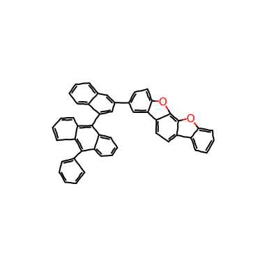 c1ccc(-c2c3ccccc3c(-c3cc(-c4ccc5oc6c(ccc7c8ccccc8oc76)c5c4)cc4ccccc34)c3ccccc23)cc1